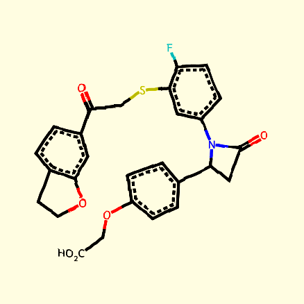 O=C(O)COc1ccc(C2CC(=O)N2c2ccc(F)c(SCC(=O)c3ccc4c(c3)OCC4)c2)cc1